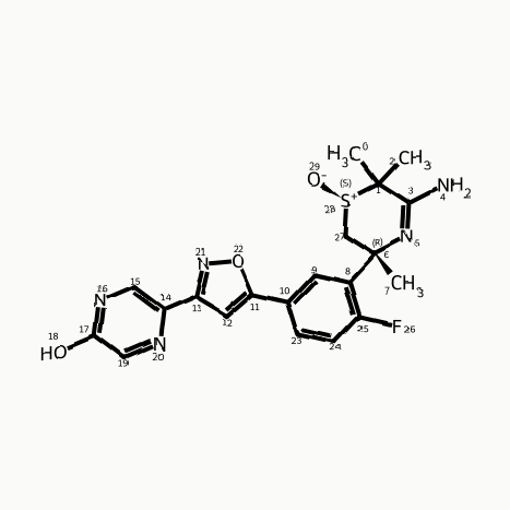 CC1(C)C(N)=N[C@](C)(c2cc(-c3cc(-c4cnc(O)cn4)no3)ccc2F)C[S@@+]1[O-]